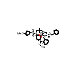 COc1ccc(S(=O)(=O)N(C[C@@H](O)[C@H](Cc2ccccc2)NC(=O)OC(C)(C)C)CC(C)(C)COCP(=O)(OCc2ccccc2)OCc2ccccc2)cc1